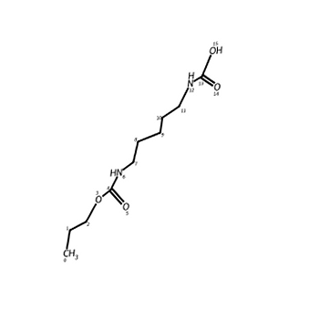 CCCOC(=O)NCCCCCNC(=O)O